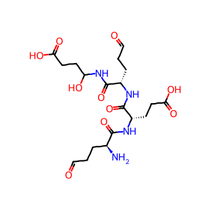 N[C@@H](CCC=O)C(=O)N[C@@H](CCC(=O)O)C(=O)N[C@@H](CCC=O)C(=O)NC(O)CCC(=O)O